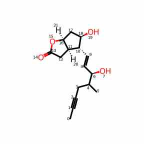 CC#CCC(C)[C@H](O)C=C[C@@H]1[C@H]2CC(=O)O[C@H]2C[C@H]1O